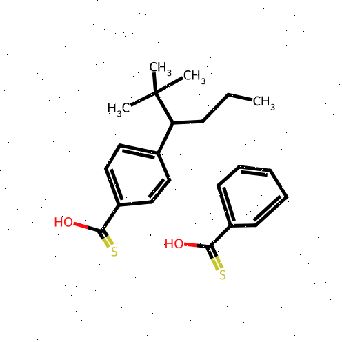 CCCC(c1ccc(C(O)=S)cc1)C(C)(C)C.OC(=S)c1ccccc1